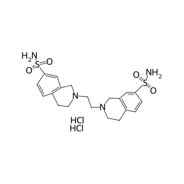 Cl.Cl.NS(=O)(=O)c1ccc2c(c1)CN(CCN1CCc3ccc(S(N)(=O)=O)cc3C1)CC2